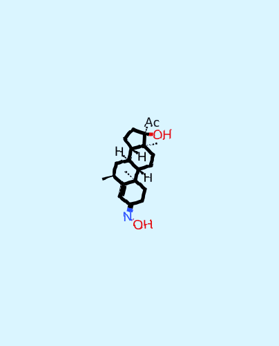 CC(=O)[C@@]1(O)CC[C@H]2[C@@H]3C[C@H](C)C4=C/C(=N/O)CC[C@]4(C)[C@H]3CC[C@@]21C